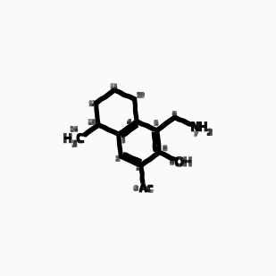 CC(=O)c1cc2c(c(CN)c1O)CCCC2C